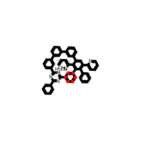 C=N/C(=C\C=C/C)c1c(-c2cccc(-c3cccc(-c4cccc(-c5nc(-c6ccccc6)nc(-c6ccccc6)n5)c4)c3)c2)cc(-c2ccccn2)c(-c2ccccc2)c1-c1ccccc1